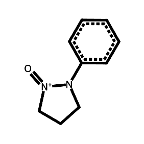 O=[N+]1CCCN1c1ccccc1